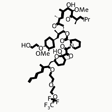 C=C/C=C/C=C(\C)[C@@H](C[C@@H]1CC[C@@H](C)[C@](O)(C(=O)C(=O)N2CCCC[C@H]2C(=O)O[C@@H](CC(=O)[C@H](C)/C=C(\C)[C@@H](O)[C@@H](OC)C(=O)[C@H](C)CC(C)C)[C@H](C)C[C@@H]2CC[C@@H](OCCO)[C@H](OC)C2)O1)OCCOCCOC(F)(F)C(F)(F)F